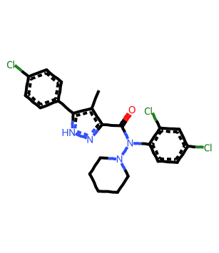 Cc1c(C(=O)N(c2ccc(Cl)cc2Cl)N2CCCCC2)n[nH]c1-c1ccc(Cl)cc1